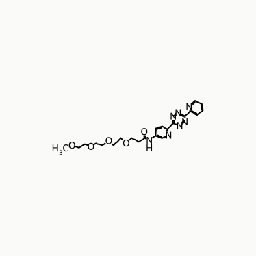 COCCOCCOCCOCCC(=O)Nc1ccc(-c2nnc(-c3ccccn3)nn2)nc1